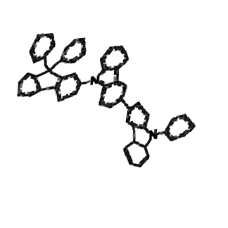 C1=CC2c3cc(-c4ccc5c(c4)c4ccccc4n5-c4ccc5c(c4)C(c4ccccc4)(c4ccccc4)c4ccccc4-5)ccc3N(c3ccccc3)C2C=C1